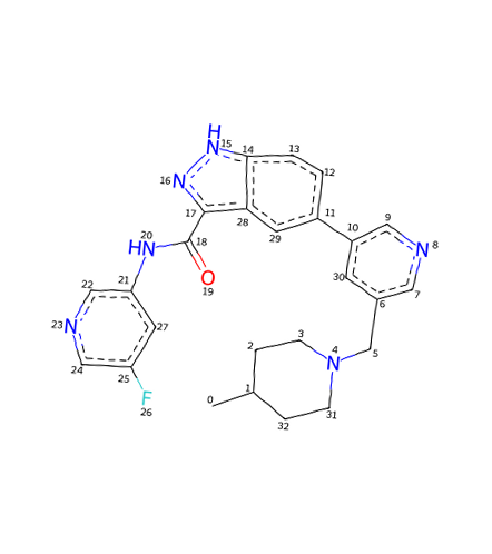 CC1CCN(Cc2cncc(-c3ccc4[nH]nc(C(=O)Nc5cncc(F)c5)c4c3)c2)CC1